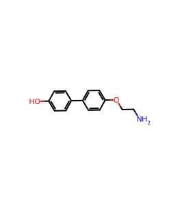 NCCOc1ccc(-c2ccc(O)cc2)cc1